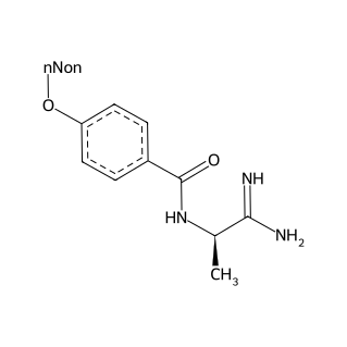 CCCCCCCCCOc1ccc(C(=O)N[C@H](C)C(=N)N)cc1